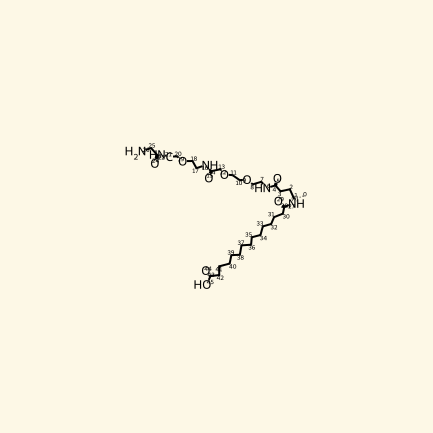 C[C@@H](CCC(=O)NCCOCCOCC(=O)NCCOCCNC(=O)CN)NC(=O)CCCCCCCCCCCCCC(=O)O